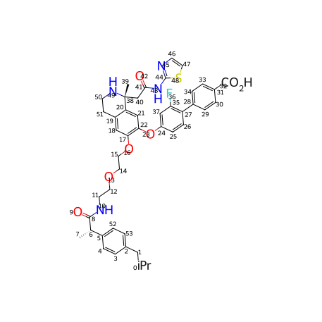 CC(C)Cc1ccc([C@H](C)C(=O)NCCOCCOc2cc3c(cc2Oc2ccc(-c4ccc(C(=O)O)cc4)c(F)c2)[C@@](C)(CC(=O)Nc2nccs2)NCC3)cc1